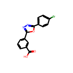 O=C(O)c1cccc(-c2nnc(-c3ccc(Br)cc3)o2)c1